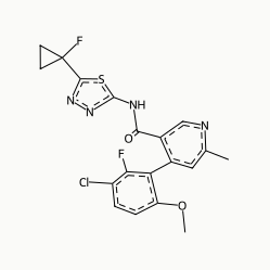 COc1ccc(Cl)c(F)c1-c1cc(C)ncc1C(=O)Nc1nnc(C2(F)CC2)s1